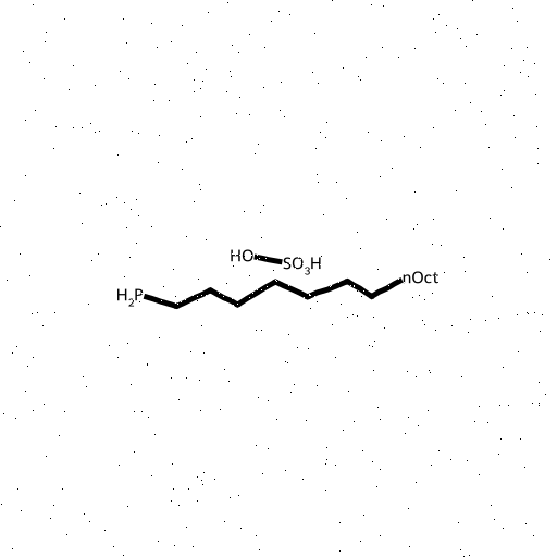 CCCCCCCCCCCCCCCP.O=S(=O)(O)O